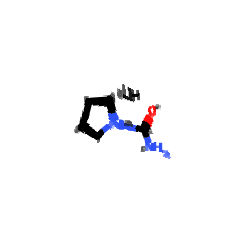 NC(=O)N1CCCC1.[LiH]